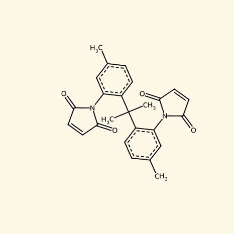 Cc1ccc(C(C)(C)c2ccc(C)cc2N2C(=O)C=CC2=O)c(N2C(=O)C=CC2=O)c1